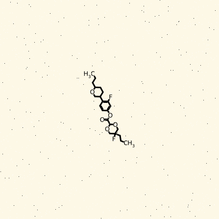 CCCC1CCC(c2ccc(OC(=O)C3OCC(F)(CCC)CO3)cc2F)CO1